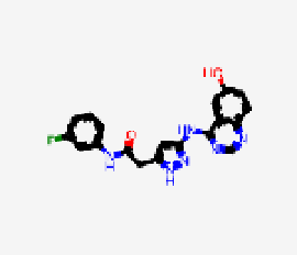 O=C(Cc1cc(Nc2ncnc3ccc(O)cc23)n[nH]1)Nc1cccc(F)c1